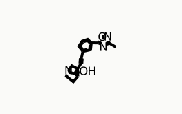 Cc1noc(-c2cccc(C#CC3(O)CN4CCC3CC4)c2)n1